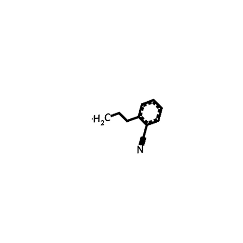 [CH2]CCc1ccccc1C#N